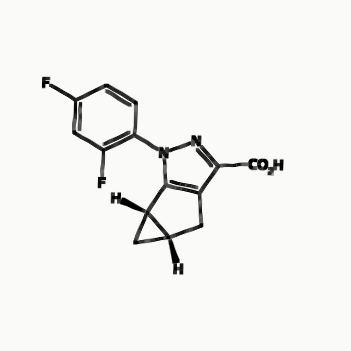 O=C(O)c1nn(-c2ccc(F)cc2F)c2c1C[C@@H]1C[C@H]21